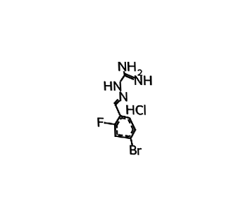 Cl.N=C(N)NN=Cc1ccc(Br)cc1F